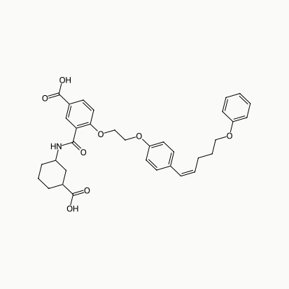 O=C(O)c1ccc(OCCOc2ccc(/C=C\CCCOc3ccccc3)cc2)c(C(=O)NC2CCCC(C(=O)O)C2)c1